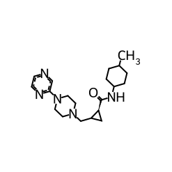 CC1CCC(NC(=O)[C@H]2CC2CN2CCN(c3cnccn3)CC2)CC1